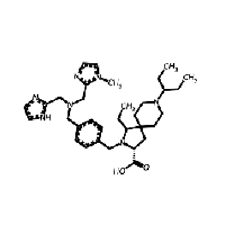 CCC(CC)N1CCC2(CC1)C[C@H](C(=O)O)N(Cc1ccc(CN(Cc3ncc[nH]3)Cc3nccn3C)cc1)C2CC